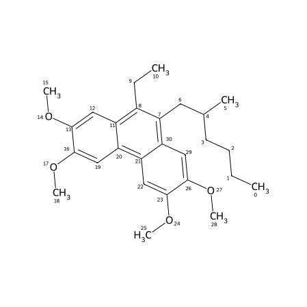 CCCCC(C)Cc1c(CC)c2cc(OC)c(OC)cc2c2cc(OC)c(OC)cc12